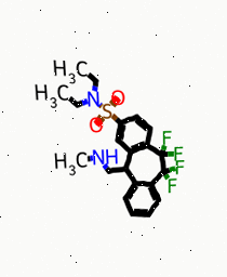 CCN(CC)S(=O)(=O)c1ccc2c(c1)C(CNC)c1ccccc1C(F)(F)C2(F)F